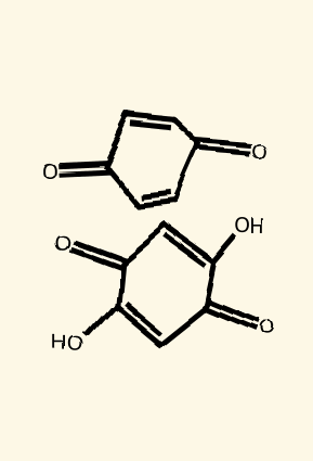 O=C1C=C(O)C(=O)C=C1O.O=C1C=CC(=O)C=C1